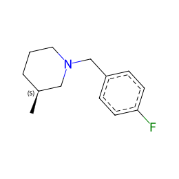 C[C@H]1CCCN(Cc2ccc(F)cc2)C1